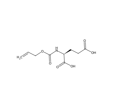 C=CCOC(=O)N[C@@H](CCC(=O)O)C(=O)O